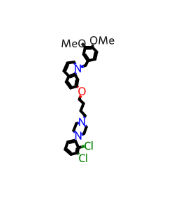 COc1ccc(CN2CC=Cc3ccc(OCCCCN4CCN(c5cccc(Cl)c5Cl)CC4)cc32)cc1OC